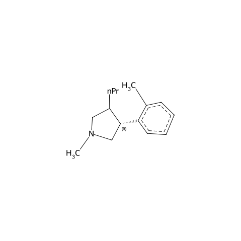 CCCC1CN(C)C[C@H]1c1ccccc1C